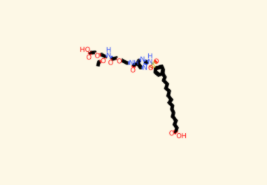 CCOC(COCC(=O)O)NC(=O)COCCNC(=O)c1cnc(NS(=O)(=O)c2ccc(CCCCCCCCCCCCCCCC(=O)O)cc2)nc1